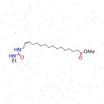 CCNC(=O)NC/C=C\CCCCCCCCCCCCC(=O)OC